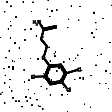 NC(=O)CCOc1cc(Cl)c(Cl)cc1Cl